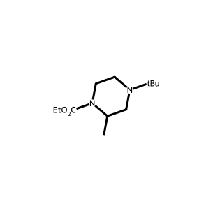 CCOC(=O)N1CCN(C(C)(C)C)CC1C